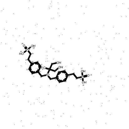 CC(CO)(CO)N(Cc1ccc(CCP(=O)(O)O)cc1)Cc1ccc(CCP(=O)(O)O)cc1